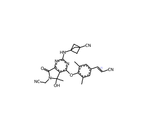 Cc1cc(/C=C/C#N)cc(C)c1Oc1nc(NC23CC(C#N)(C2)C3)nc2c1C(C)(O)N(CC#N)C2=O